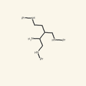 CC(C)NCCC(CNC(C)C)C(N)CNC(C)C